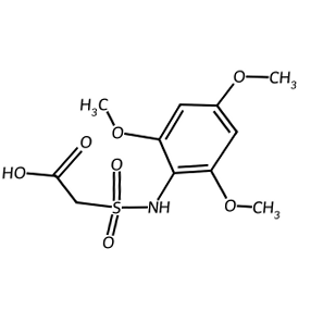 COc1cc(OC)c(NS(=O)(=O)CC(=O)O)c(OC)c1